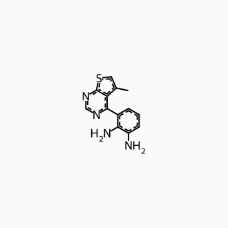 Cc1csc2ncnc(-c3cccc(N)c3N)c12